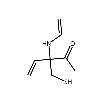 C=CNC(C=C)(CS)C(C)=O